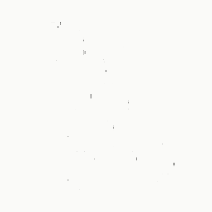 CCN(CC)C(=O)C1CN2CCC1C1(OCCO1)C2C(c1ccccc1)c1ccccc1